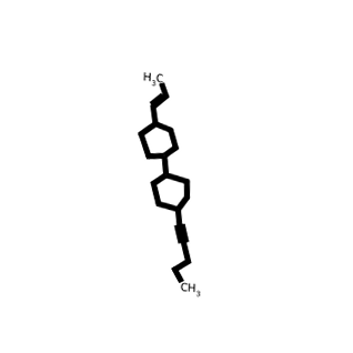 CC=CC1CCC(C2CCC(C#CCCC)CC2)CC1